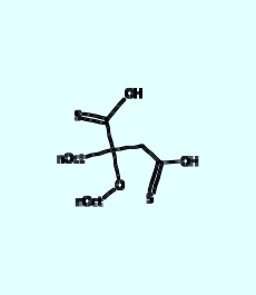 CCCCCCCCOC(CCCCCCCC)(CC(O)=S)C(O)=S